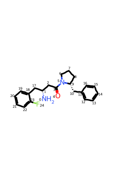 N[C@@H](CC(=O)N1CCC[C@@H]1Cc1ccccc1)Cc1ccccc1F